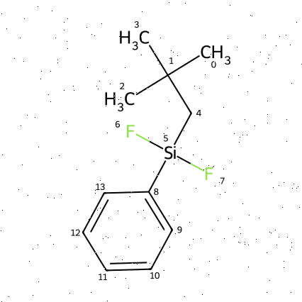 CC(C)(C)C[Si](F)(F)c1ccccc1